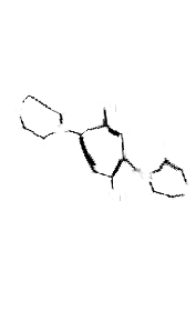 Oc1cc(N2CCOCC2)c(O)cc1N1CCOCC1